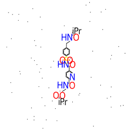 CC(C)C(=O)NCCc1ccc(S(=O)(=O)NC(=O)c2ccc(C(=O)NCCOC(=O)C(C)C)nc2)cc1